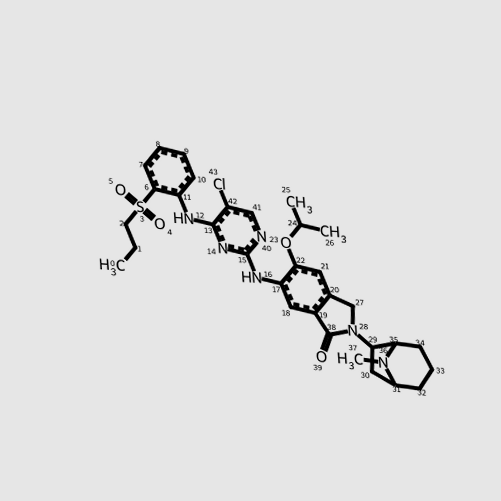 CCCS(=O)(=O)c1ccccc1Nc1nc(Nc2cc3c(cc2OC(C)C)CN(C2CC4CCCC2N4C)C3=O)ncc1Cl